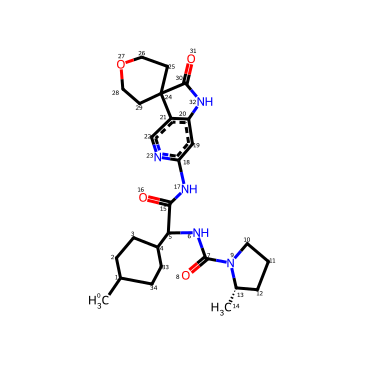 CC1CCC(C(NC(=O)N2CCC[C@@H]2C)C(=O)Nc2cc3c(cn2)C2(CCOCC2)C(=O)N3)CC1